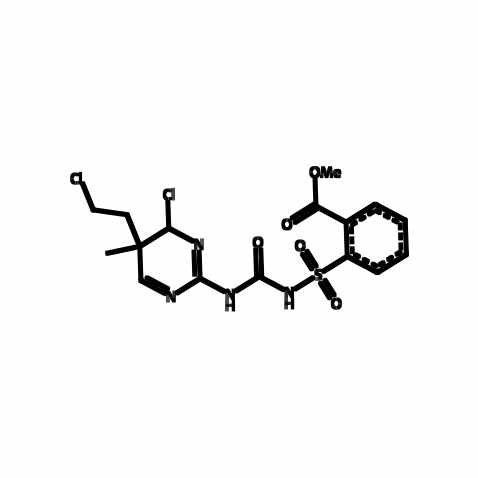 COC(=O)c1ccccc1S(=O)(=O)NC(=O)NC1=NC(Cl)C(C)(CCCl)C=N1